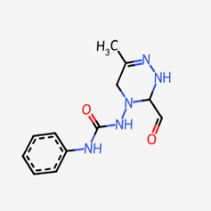 CC1=NNC(C=O)N(NC(=O)Nc2ccccc2)C1